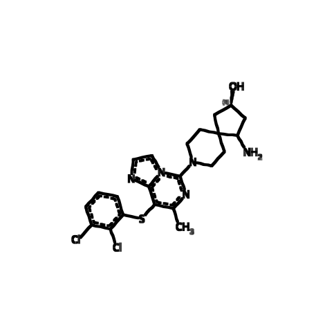 Cc1nc(N2CCC3(CC2)C[C@@H](O)CC3N)n2ccnc2c1Sc1cccc(Cl)c1Cl